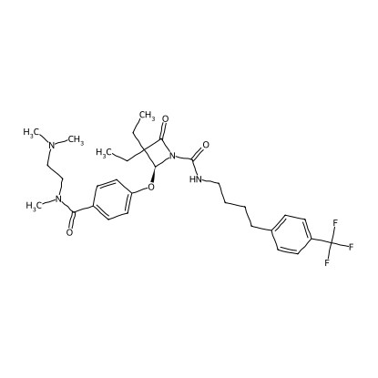 CCC1(CC)C(=O)N(C(=O)NCCCCc2ccc(C(F)(F)F)cc2)[C@H]1Oc1ccc(C(=O)N(C)CCN(C)C)cc1